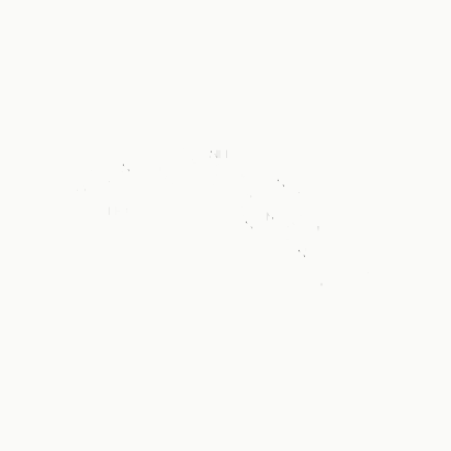 Cc1cc(Oc2c(F)cccc2F)ncc1-n1ncc(C(=O)c2cc3cc4c(cc3[nH]2)CCN(C2COC2)C4CO)c1N